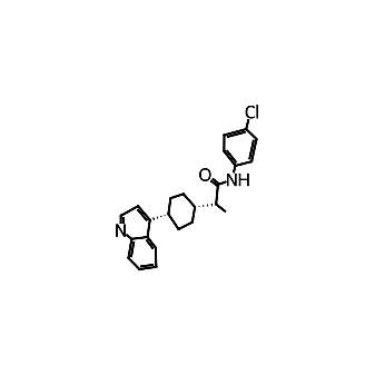 CC(C(=O)Nc1ccc(Cl)cc1)[C@H]1CC[C@@H](c2ccnc3ccccc32)CC1